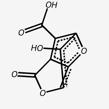 O=C(O)c1c2c3oc1c(O)c3OC2=O